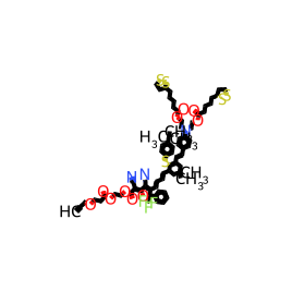 C#CCOCCC(=O)OCCOC(=O)/C(C#N)=C1\OC(c2ccccc2)(C(F)(F)F)C(/C=C/C=C/C2CC(C)(C)CC(/C=C/c3ccc(N(CCOC(=O)CCCCC4CCSS4)CCOC(=O)CCCCC4CCSS4)cc3)=C2Sc2ccc(C(C)(C)C)cc2)=C1C#N